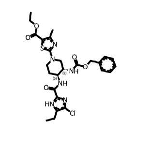 CCOC(=O)c1sc(N2CC[C@H](NC(=O)c3nc(Cl)c(CC)[nH]3)[C@@H](NC(=O)OCc3ccccc3)C2)nc1C